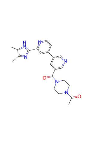 CC(=O)N1CCN(C(=O)c2cncc(-c3ccnc(-c4nc(C)c(C)[nH]4)c3)c2)CC1